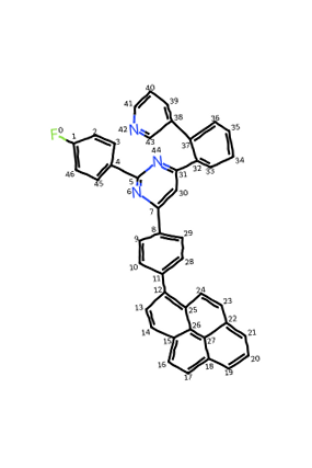 Fc1ccc(-c2nc(-c3ccc(-c4ccc5ccc6cccc7ccc4c5c67)cc3)cc(-c3ccccc3-c3cccnc3)n2)cc1